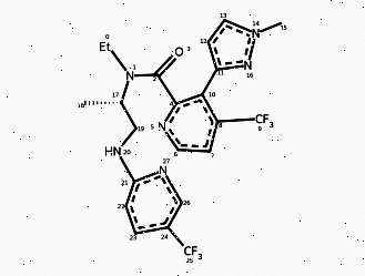 CCN(C(=O)c1nccc(C(F)(F)F)c1-c1ccn(C)n1)[C@@H](C)CNc1ccc(C(F)(F)F)cn1